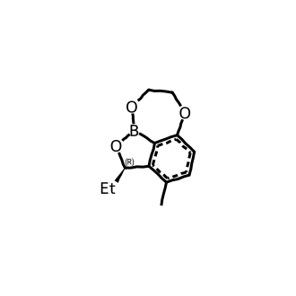 CC[C@H]1OB2OCCOc3ccc(C)c1c32